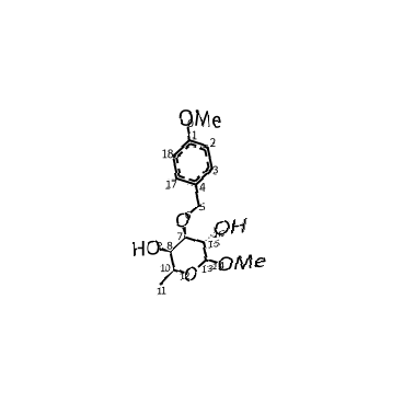 COc1ccc(CO[C@@H]2[C@H](O)[C@H](C)OC(OC)[C@H]2O)cc1